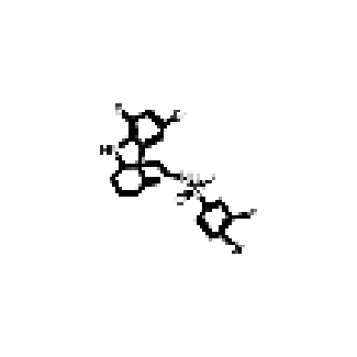 C=C1CCCC2Nc3c(F)cc(Br)cc3C12CCNS(=O)(=O)c1ccc(Br)c(F)c1